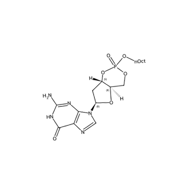 CCCCCCCCOP1(=O)OC[C@H]2O[C@@H](n3cnc4c(=O)[nH]c(N)nc43)C[C@@H]2O1